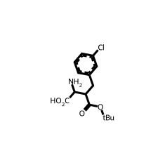 CC(C)(C)OC(=O)C(Cc1cccc(Cl)c1)C(N)C(=O)O